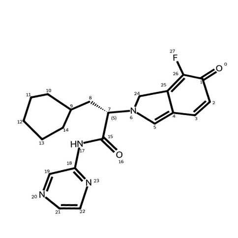 O=C1C=CC2=CN([C@@H](CC3CCCCC3)C(=O)Nc3cnccn3)CC2=C1F